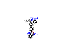 C=C(Nc1ccccc1N)c1ccc(-c2ccc(C(=O)Nc3ccccc3N)cc2)cc1